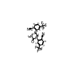 CN(C)C(=O)N(/N=N/c1cc(C(F)(F)F)ccc1C#N)c1cc(C(F)(F)F)ccc1C#N